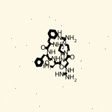 CC(C)C[C@@H](NC(=O)[C@@H](Cc1ccccc1)NC(=O)[C@H](N)Cc1ccccc1)C(=O)N[C@H](CCNC(=N)N)C(=O)N1CCCN(C(=N)N)CC1